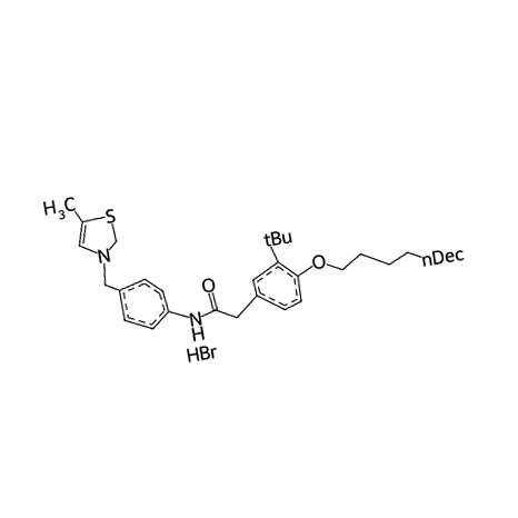 Br.CCCCCCCCCCCCCCOc1ccc(CC(=O)Nc2ccc(CN3C=C(C)SC3)cc2)cc1C(C)(C)C